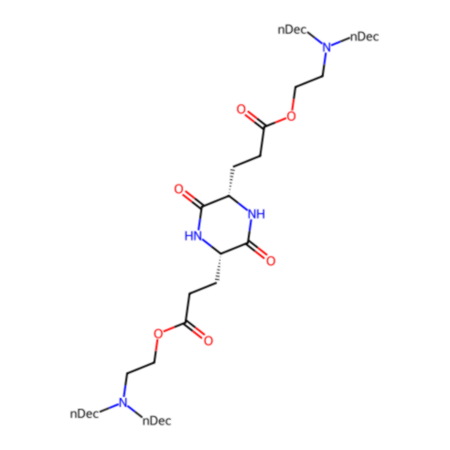 CCCCCCCCCCN(CCCCCCCCCC)CCOC(=O)CC[C@@H]1NC(=O)[C@H](CCC(=O)OCCN(CCCCCCCCCC)CCCCCCCCCC)NC1=O